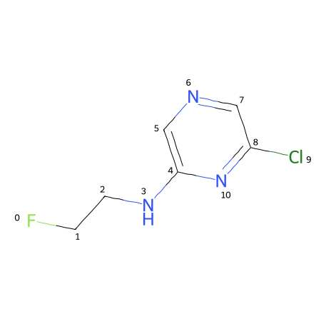 FCCNc1cncc(Cl)n1